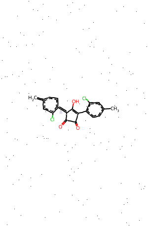 C=c1cc/c(=C2/C(=O)C(=O)C(c3ccc(C)cc3Cl)=C2O)c(Cl)c1